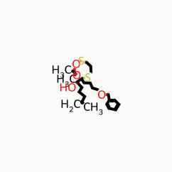 C=C(C)CCCC(C)(O)C1(CCCCOCc2ccccc2)OC(C)OSCCCS1